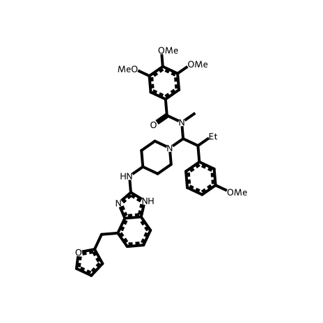 CCC(c1cccc(OC)c1)C(N1CCC(Nc2nc3c(Cc4ccco4)cccc3[nH]2)CC1)N(C)C(=O)c1cc(OC)c(OC)c(OC)c1